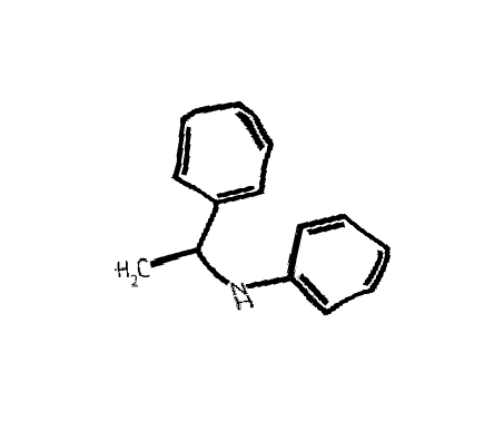 [CH2]C(Nc1ccccc1)c1ccccc1